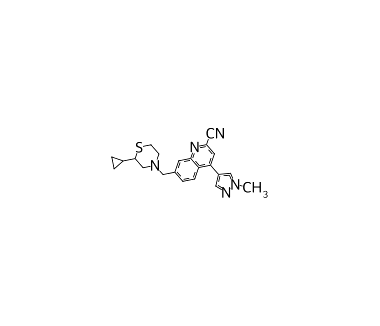 Cn1cc(-c2cc(C#N)nc3cc(CN4CCSC(C5CC5)C4)ccc23)cn1